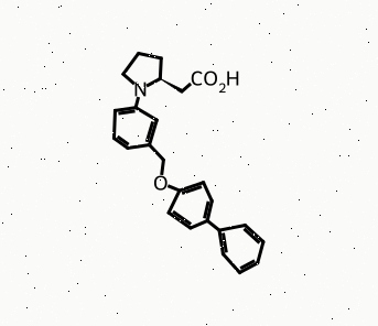 O=C(O)C[C@@H]1CCCN1c1cccc(COc2ccc(-c3ccccc3)cc2)c1